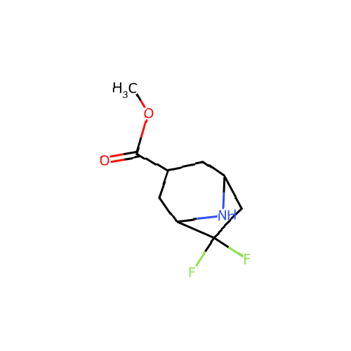 COC(=O)C1CC2CC(F)(F)C(C1)N2